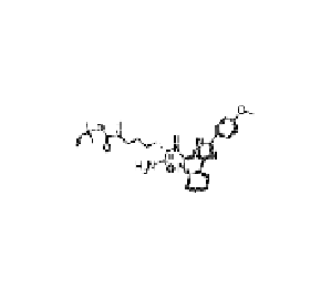 C=CC(C)(C)OC(=O)NCCCC[C@H](Nc1nc2ccccc2c2nc(-c3ccc(OC)cc3)nn12)C(N)=O